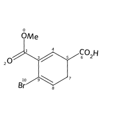 COC(=O)C1=CC(C(=O)O)CC=C1Br